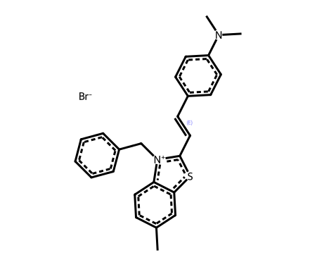 Cc1ccc2c(c1)sc(/C=C/c1ccc(N(C)C)cc1)[n+]2Cc1ccccc1.[Br-]